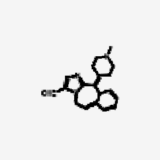 CN1CCC(=C2c3ncc(C=O)n3CC=C3C=CC=CC32)CC1